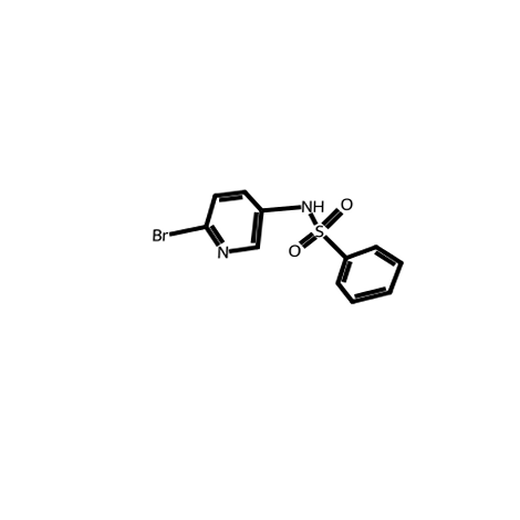 O=S(=O)(Nc1ccc(Br)nc1)c1ccccc1